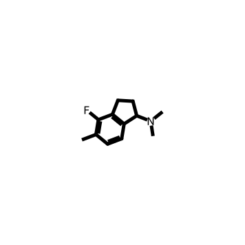 Cc1ccc2c(c1F)CCC2N(C)C